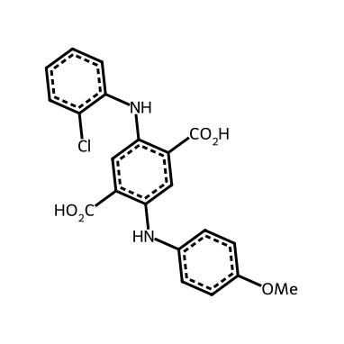 COc1ccc(Nc2cc(C(=O)O)c(Nc3ccccc3Cl)cc2C(=O)O)cc1